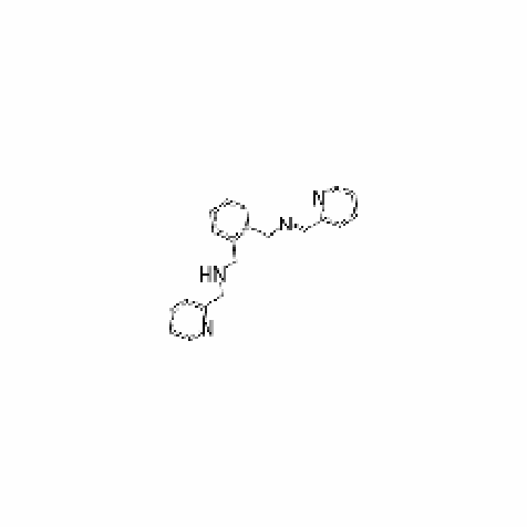 C(=NCc1ccccc1CNCc1ccccn1)c1ccccn1